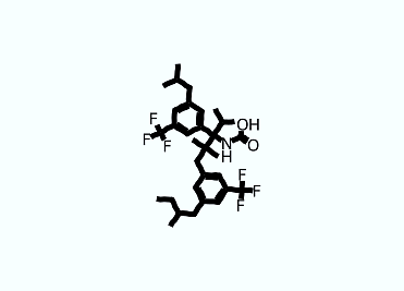 CCC(C)Cc1cc(CC(C)(C)C(NC(=O)O)([C](C)C)c2cc(CC(C)C)cc(C(F)(F)F)c2)cc(C(F)(F)F)c1